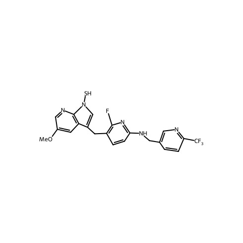 COc1cnc2c(c1)c(Cc1ccc(NCc3ccc(C(F)(F)F)nc3)nc1F)cn2S